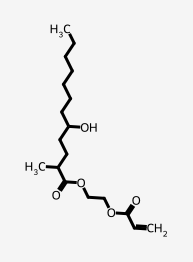 C=CC(=O)OCCOC(=O)C(C)CCC(O)CCCCCCC